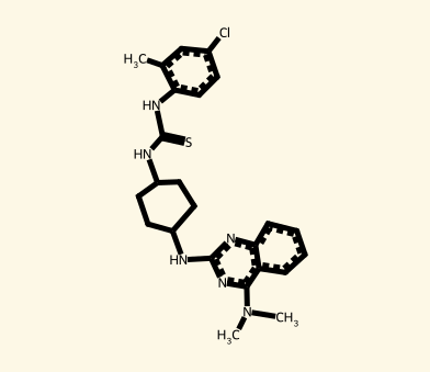 Cc1cc(Cl)ccc1NC(=S)NC1CCC(Nc2nc(N(C)C)c3ccccc3n2)CC1